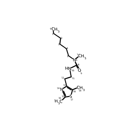 CCCCCCN(C)C(=O)NCCc1nc(C)sc1C